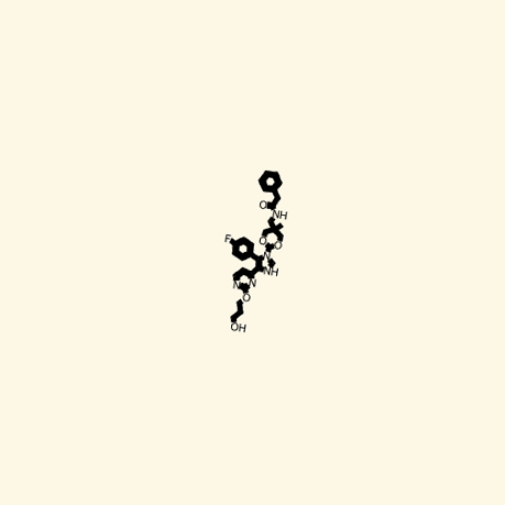 CC1(CNC(=O)Cc2ccccc2)COC(N2CNC(c3ccnc(OCCCO)n3)=C2c2ccc(F)cc2)OC1